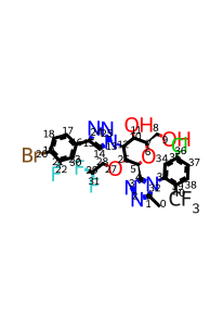 Cc1nnc([C@@H]2O[C@H](CO)[C@H](O)[C@H](n3cc(-c4ccc(Br)c(F)c4)nn3)[C@H]2OCC(F)F)n1-c1cc(Cl)ccc1C(F)(F)F